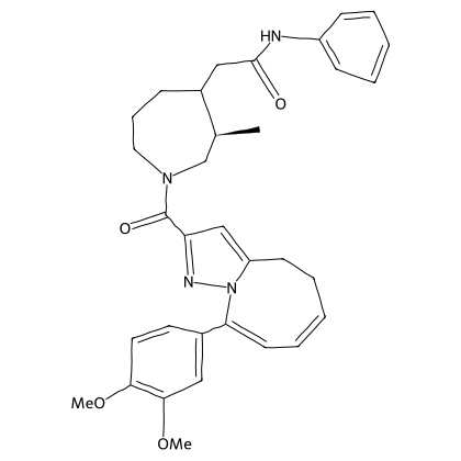 COc1ccc(/C2=C/C=C\CCc3cc(C(=O)N4CCCC(CC(=O)Nc5ccccc5)[C@@H](C)C4)nn32)cc1OC